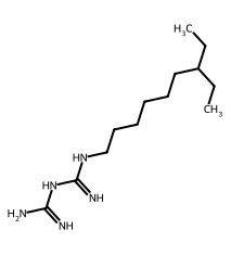 CCC(CC)CCCCCCNC(=N)NC(=N)N